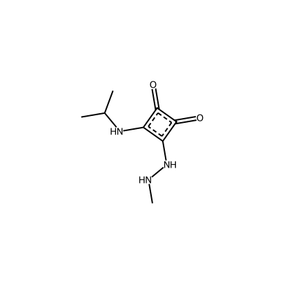 CNNc1c(NC(C)C)c(=O)c1=O